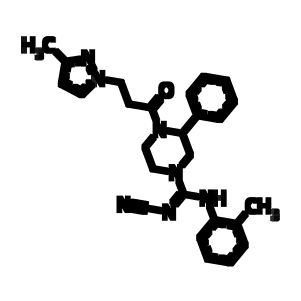 Cc1ccn(CCC(=O)N2CCN(/C(=N\C#N)Nc3ccccc3C)CC2c2ccccc2)n1